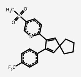 CS(=O)(=O)c1ccc(C2=CC3(C=C2c2ccc(C(F)(F)F)cc2)CCCC3)nc1